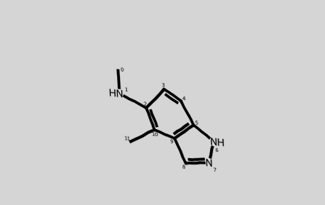 CNc1ccc2[nH]ncc2c1C